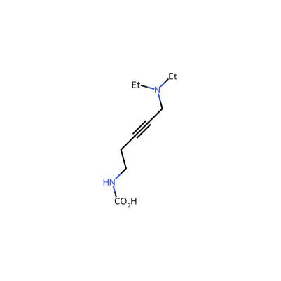 CCN(CC)CC#CCCNC(=O)O